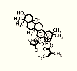 C/C=C(/C)C(=O)O[C@@H]1C2[C@H]3O[C@]45CCC6[C@@]7(C)CC[C@H](O)C(C)(C)C7CC[C@@]6(C)[C@]4(C)C[C@@H](O)[C@]3(C5CC2(C)C)[C@H]1OC(=O)/C(C)=C\C